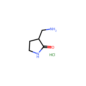 Cl.NCC1CCNC1=O